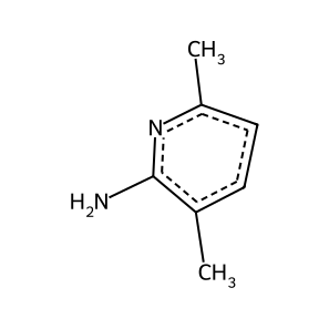 Cc1ccc(C)c(N)n1